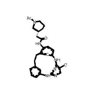 CC(=O)N1CCC[C@H](CC(=O)Nc2ccc3cc2CCc2cccc(c2)Nc2ncc(Cl)c(n2)N3)C1